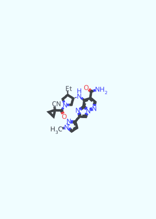 CC[C@@H]1CN(C(=O)C2(C#N)CC2)C[C@H]1Nc1c(C(N)=O)cnn2cc(-c3ccn(C)n3)nc12